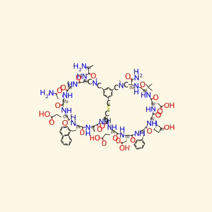 C[C@H](N)C(=O)N[C@H]1CN(C)Cc2cc3cc(c2)CN(C)C[C@@H](C(N)=O)NC(=O)[C@H](C(C)(C)C)NC(=O)[C@H](CC(=O)O)NC(=O)[C@H](CC2CC[C@H]2O)NC(=O)[C@H](Cc2ccccc2)NC(=O)[C@H](CC(=O)O)NC(=O)[C@H](CCC(=O)O)NC(=O)[C@@H](CSC3)NC(=O)[C@@H](C)NC(=O)[C@H](Cc2cccc3ccccc23)NC(=O)[C@H](CCC(=O)O)NC(=O)[C@H](CC(N)=O)NC(=O)[C@@H](C)NC1=O